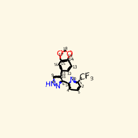 FC(F)(F)c1cccc(-c2n[nH]cc2-c2ccc3c(c2)OCO3)n1